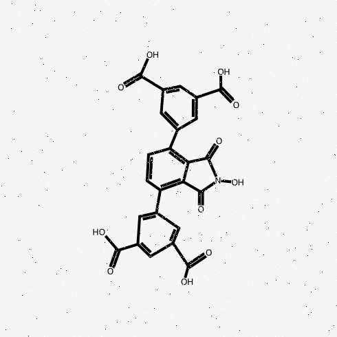 O=C(O)c1cc(C(=O)O)cc(-c2ccc(-c3cc(C(=O)O)cc(C(=O)O)c3)c3c2C(=O)N(O)C3=O)c1